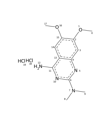 COc1cc2nc(N(C)C)nc(N)c2cc1OC.Cl.Cl